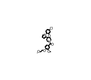 COCCOc1ccc(C(=O)N2CCC3(CC2)Oc2cc(Cl)ccc2-n2cccc23)cc1OC